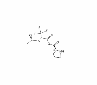 CC(=O)SC(C(=O)OC(=O)[C@@H]1CCCN1)C(F)(F)F